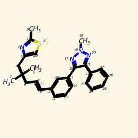 Cc1nc(CC(C)(C)C/C=C/c2cccc(-c3nn(C)nc3-c3ccccc3)c2)cs1